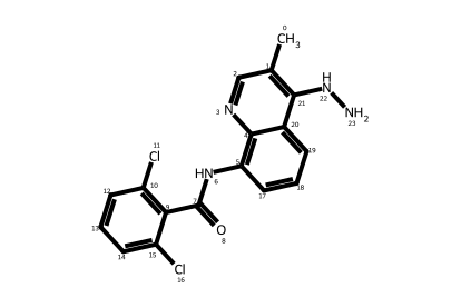 Cc1cnc2c(NC(=O)c3c(Cl)cccc3Cl)cccc2c1NN